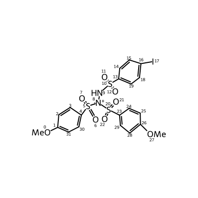 COc1ccc(S(=O)(=O)[N+](NS(=O)(=O)c2ccc(I)cc2)S(=O)(=O)c2ccc(OC)cc2)cc1